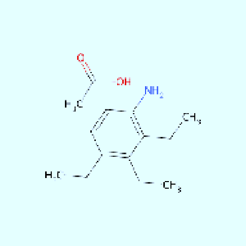 CC(=O)O.CCc1ccc(N)c(CC)c1CC